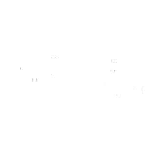 COC(=O)c1cccc(C(=O)OC)c1CC1CO1